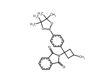 CC1CC(c2ccc(B3OC(C)(C)C(C)(C)O3)cc2)(N2C(=O)c3ccccc3C2=O)C1